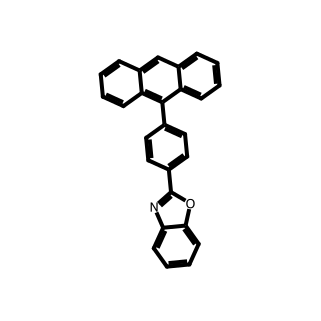 c1ccc2c(-c3ccc(-c4nc5ccccc5o4)cc3)c3ccccc3cc2c1